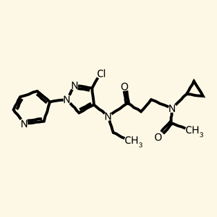 CCN(C(=O)CCN(C(C)=O)C1CC1)c1cn(-c2cccnc2)nc1Cl